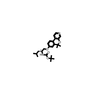 CC(C)C[C@@H](COc1ccc2c(c1)C(C)(C)Oc1cnccc1-2)NC(=O)OC(C)(C)C